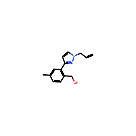 C=CCn1ccc(-c2cc(C)ccc2CO)n1